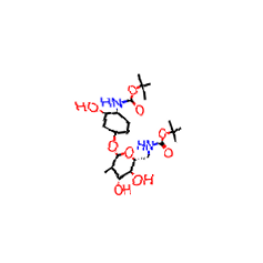 CC1[C@@H](OC2CC[C@@H](NC(=O)OC(C)(C)C)[C@H](O)C2)O[C@H](CNC(=O)OC(C)(C)C)[C@@H](O)[C@@H]1O